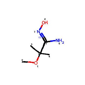 COC(C)(C)/C(N)=N/O